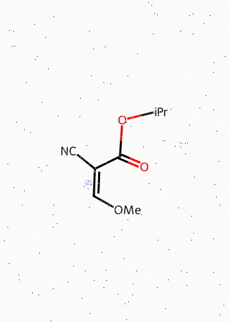 CO/C=C(/C#N)C(=O)OC(C)C